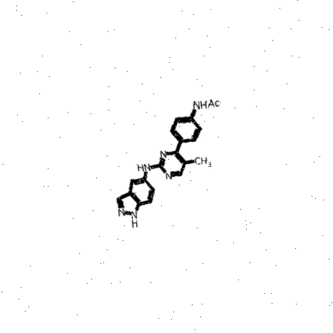 CC(=O)Nc1ccc(-c2nc(Nc3ccc4[nH]ncc4c3)ncc2C)cc1